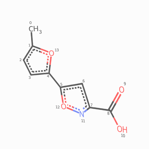 Cc1ccc(-c2cc(C(=O)O)no2)o1